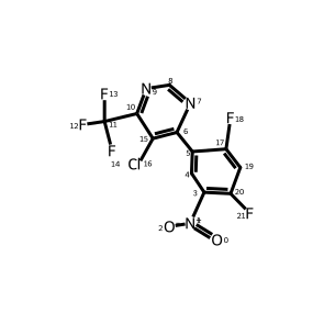 O=[N+]([O-])c1cc(-c2ncnc(C(F)(F)F)c2Cl)c(F)cc1F